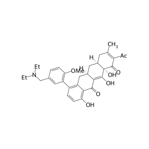 CCN(CC)Cc1ccc(OC)c(-c2ccc(O)c3c2C[C@H]2C[C@H]4CC(C)=C(C(C)=O)C(=O)[C@@]4(O)C(O)=C2C3=O)c1